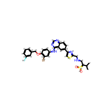 CC(C)C(CNCc1nc(-c2ccc3ncnc(Nc4ccc(OCc5cccc(F)c5)c(Br)c4)c3c2)cs1)=S(=O)=O